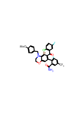 COc1ccc(CN2CCOc3cc(-c4c(F)cc(C(F)(F)F)cc4C(N)=O)c(C(=O)c4cc(F)ccc4Cl)c(Br)c32)cc1